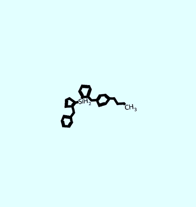 CCCCc1ccc(Cc2ccccc2[SiH2]C2=C(Cc3ccccc3)C=CC2)cc1